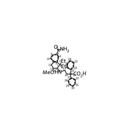 CCC1(CC)c2cc(C(N)=O)ccc2CC(OC)C1NCCC(C(=O)O)(c1ccccc1)c1ccccc1